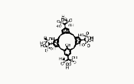 O=P(O)(O)C(c1cc2c(O)c(c1)Cc1cc(C(P(=O)(O)O)P(=O)(O)O)cc(c1O)Cc1cc(C(P(=O)(O)O)P(=O)(O)O)cc(c1O)Cc1cc(C(P(=O)(O)O)P(=O)(O)O)cc(c1O)C2)P(=O)(O)O